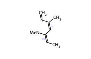 C=N/C(C)=C\C(=C/C)NC